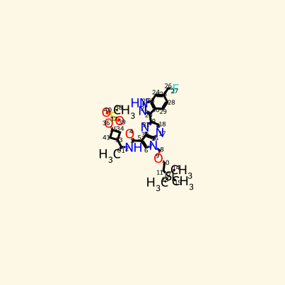 CC(NC(=O)c1cn(COCC[Si](C)(C)C)c2ncc(-c3n[nH]c4cc(CF)ccc34)nc12)C1CC(OS(C)(=O)=O)C1